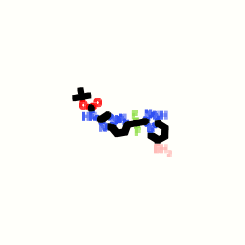 BC1=CN2C(C(F)(F)c3ccc4nc(NC(=O)OC(C)(C)C)cn4n3)=NNC2C=C1